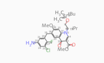 COC(=O)c1cn([C@H](CO[Si](C)(C)C(C)(C)C)C(C)C)c2cc(OC)c(Cc3cc(N)cc(Cl)c3F)cc2c1=O